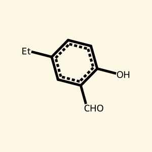 [CH2]Cc1ccc(O)c(C=O)c1